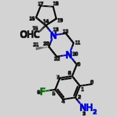 Cc1c(N)cc(F)cc1CN1CCN(C2(C=O)CCCC2)[C@@H](C)C1